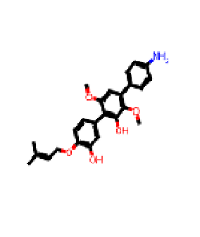 COc1cc(-c2ccc(N)cc2)c(OC)c(O)c1-c1ccc(OCC=C(C)C)c(O)c1